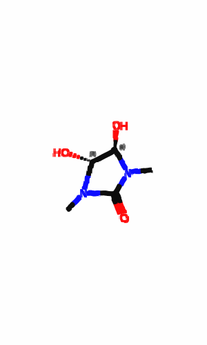 CN1C(=O)N(C)[C@H](O)[C@H]1O